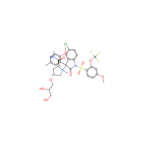 CNC(=O)[C@@H]1C[C@@H](OCC(O)CO)C[N+]1(C)C1(c2cc(C)ccc2OC)C(=O)N(S(=O)(=O)c2ccc(OC)cc2OC(F)(F)F)c2ccc(Cl)cc21